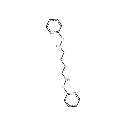 c1ccc(OPCCCCPOc2ccccc2)cc1